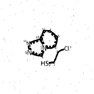 SCCCl.c1ccn2cnnc2c1